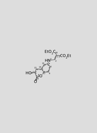 CCOC(=O)C(=CNc1ccc2oc(=O)c(O)cc2c1)C(=O)OCC